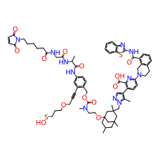 Cc1c(-c2ccc(N3CCc4cccc(C(=O)Nc5nc6ccccc6s5)c4C3)nc2C(=O)O)cnn1CC1(C)CC2(C)CC(C)CC(OCCN(C)C(=O)OCc3ccc(NC(=O)C(C)NC(=O)CNC(=O)CCCCCN4C(=O)C=CC4=O)cc3C#CCOCCCSO)(C2)C1